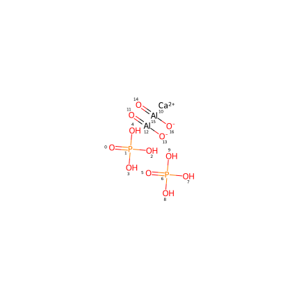 O=P(O)(O)O.O=P(O)(O)O.[Ca+2].[O]=[Al][O-].[O]=[Al][O-]